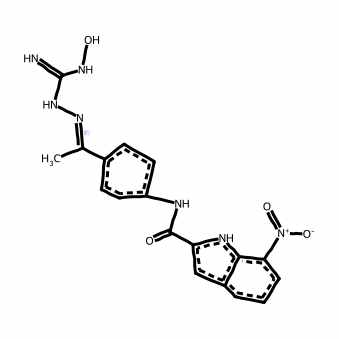 C/C(=N\NC(=N)NO)c1ccc(NC(=O)c2cc3cccc([N+](=O)[O-])c3[nH]2)cc1